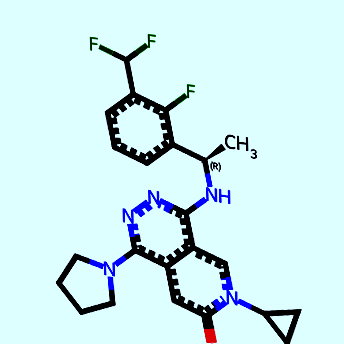 C[C@@H](Nc1nnc(N2CCCC2)c2cc(=O)n(C3CC3)cc12)c1cccc(C(F)F)c1F